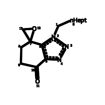 CCCCCCCCn1nnc2c1C1(CCC2=O)CO1